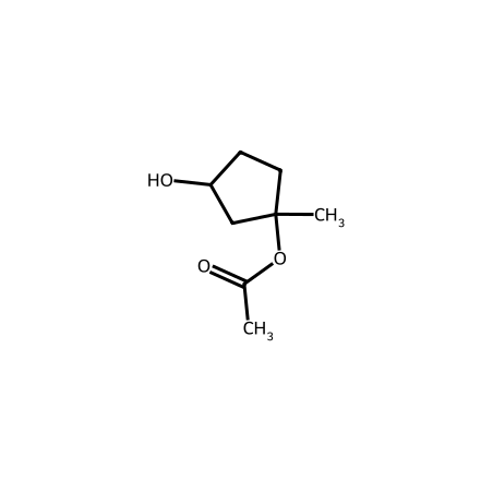 CC(=O)OC1(C)CCC(O)C1